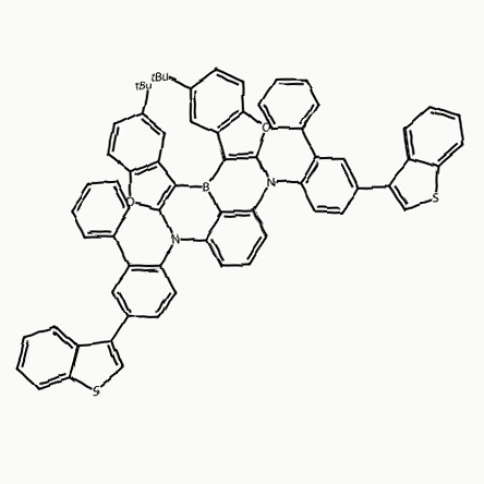 CC(C)(C)c1ccc2oc3c(c2c1)B1c2c(cccc2N(c2ccc(-c4csc5ccccc45)cc2-c2ccccc2)c2oc4ccc(C(C)(C)C)cc4c21)N3c1ccc(-c2csc3ccccc23)cc1-c1ccccc1